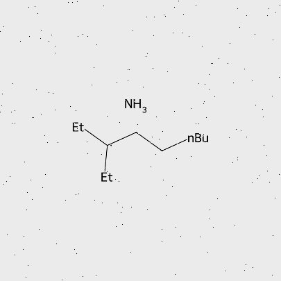 CCCCCC[C](CC)CC.N